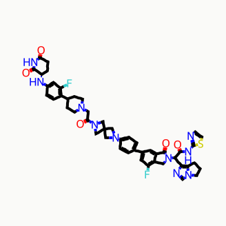 O=C1CC[C@H](Nc2ccc(C3CCN(CC(=O)N4CC5(C4)CN(c4ccc(-c6cc(F)c7c(c6)C(=O)N(C(C(=O)Nc6nccs6)c6ncn8c6CCC8)C7)cc4)C5)CC3)c(F)c2)C(=O)N1